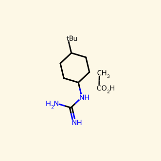 CC(=O)O.CC(C)(C)C1CCC(NC(=N)N)CC1